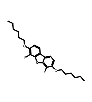 CCCCCCOc1ccc2c(sc3c(F)c(OCCCCCC)ccc32)c1F